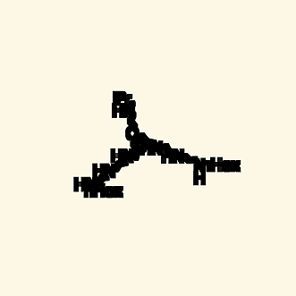 CCCCCCNCCCNCCCNCc1cc(CNCCCNCCCNCCCCCC)cc(OCCCNCC(C)C)c1